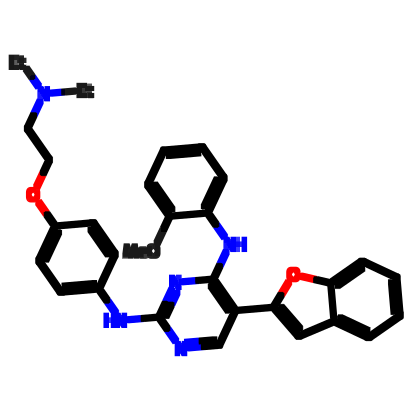 CCN(CC)CCOc1ccc(Nc2ncc(-c3cc4ccccc4o3)c(Nc3ccccc3OC)n2)cc1